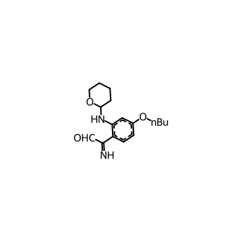 CCCCOc1ccc(C(=N)C=O)c(NC2CCCCO2)c1